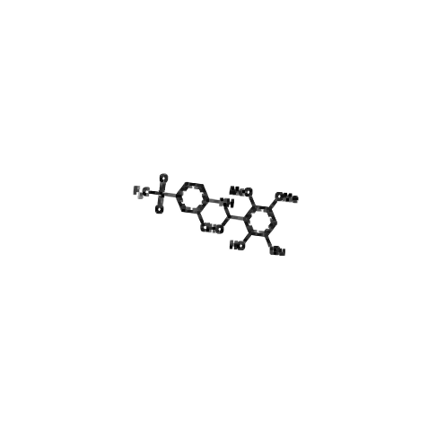 COc1cc(C(C)(C)C)c(O)c(C(O)Nc2ccc(S(=O)(=O)C(F)(F)F)cc2Cl)c1OC